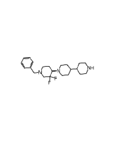 FC1(F)CN(Cc2ccccc2)CCC1N1CCC(C2CCNCC2)CC1